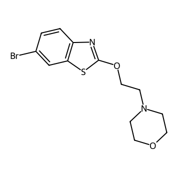 Brc1ccc2nc(OCCN3CCOCC3)sc2c1